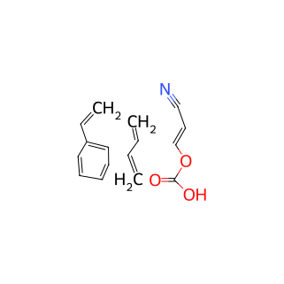 C=CC=C.C=Cc1ccccc1.N#CC=COC(=O)O